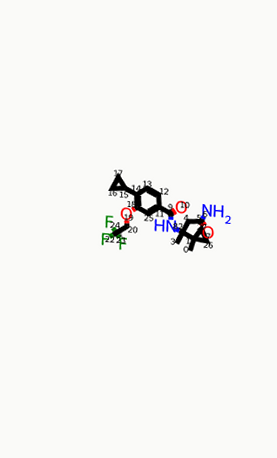 CC1(C(C)(CC(N)=O)NC(=O)c2ccc(C3CC3)c(OCC(F)(F)F)c2)CC1